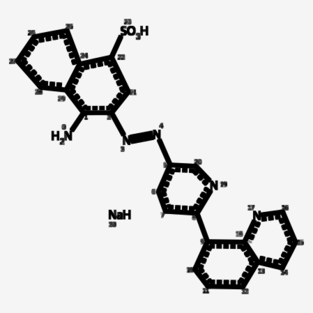 Nc1c(/N=N/c2ccc(-c3cccc4cccnc34)nc2)cc(S(=O)(=O)O)c2ccccc12.[NaH]